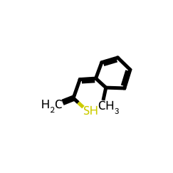 C=C(S)/C=C1/C=CC=CC1C